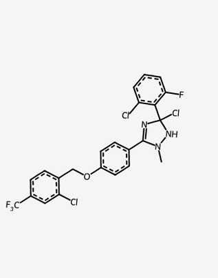 CN1NC(Cl)(c2c(F)cccc2Cl)N=C1c1ccc(OCc2ccc(C(F)(F)F)cc2Cl)cc1